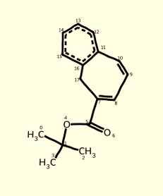 CC(C)(C)OC(=O)C1=CC=Cc2ccccc2C1